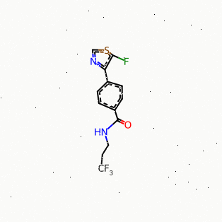 O=C(NCCC(F)(F)F)c1ccc(-c2ncsc2F)cc1